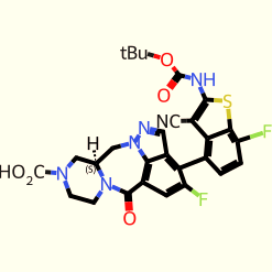 CC(C)(C)OC(=O)Nc1sc2c(F)ccc(-c3c(F)cc4c5c3cnn5C[C@@H]3CN(C(=O)O)CCN3C4=O)c2c1C#N